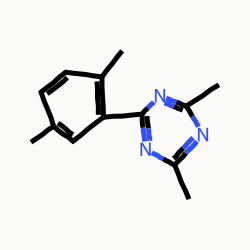 Cc1ccc(C)c(-c2nc(C)nc(C)n2)c1